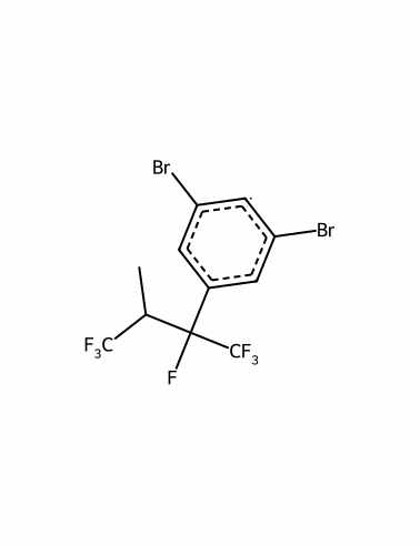 CC(C(F)(F)F)C(F)(c1cc(Br)[c]c(Br)c1)C(F)(F)F